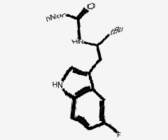 CCCCCCCCCC(=O)NC(Cc1c[nH]c2ccc(F)cc12)C(C)(C)C